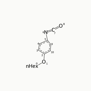 CCCCCCOc1ccc(N=C=O)cc1